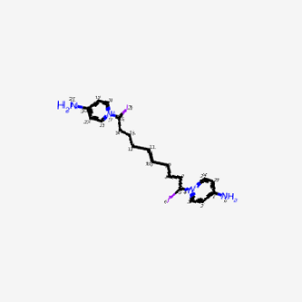 Nc1cc[n+](C(I)CCCCCCCCC(I)[n+]2ccc(N)cc2)cc1